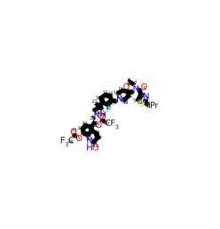 CC(C)c1nc(C(=O)N2CCOC3(CCN(Cc4cccc(C(C)(C)CNC[C@H](OC(=O)C(F)(F)F)c5ccc(OC(=O)C(F)(F)F)c6[nH]c(=O)ccc56)c4F)CC3)C2)cs1